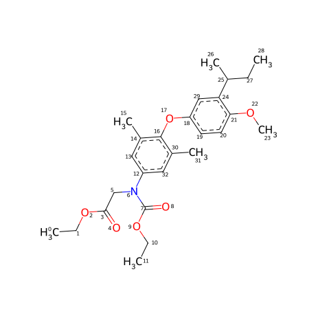 CCOC(=O)CN(C(=O)OCC)c1cc(C)c(Oc2ccc(OC)c(C(C)CC)c2)c(C)c1